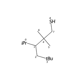 CC(C)C(CC(C)(C)C)C(C)(C)CS